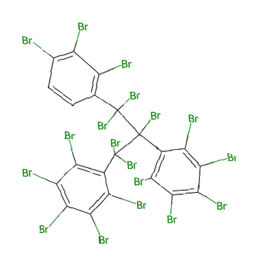 Brc1ccc(C(Br)(Br)C(Br)(c2c(Br)c(Br)c(Br)c(Br)c2Br)C(Br)(Br)c2c(Br)c(Br)c(Br)c(Br)c2Br)c(Br)c1Br